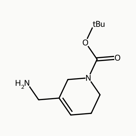 CC(C)(C)OC(=O)N1CCC=C(CN)C1